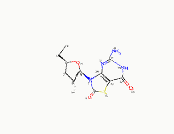 CC[C@@H]1C[C@@H](C)[C@H](n2c(=O)sc3c(=O)[nH]c(N)nc32)O1